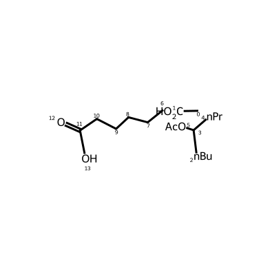 CC(=O)O.CCCCC(CCC)OC(C)=O.CCCCCC(=O)O